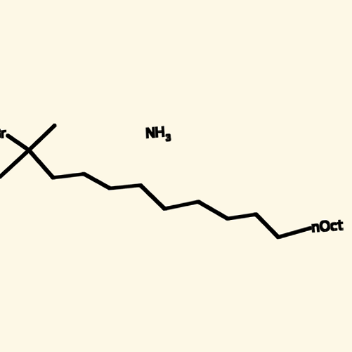 CCCCCCCCCCCCCCCCCC(C)(C)Br.N